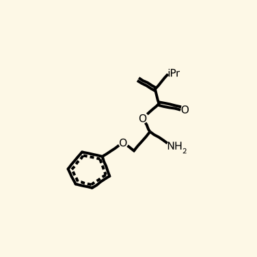 C=C(C(=O)OC(N)COc1ccccc1)C(C)C